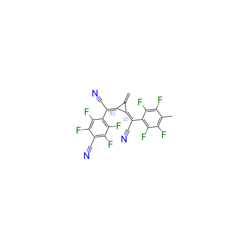 C=C1C(=C(/C#N)c2c(F)c(F)c(C)c(F)c2F)/C1=C(/C#N)c1c(F)c(F)c(C#N)c(F)c1F